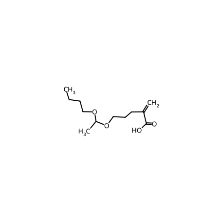 C=C(CCCOC(C)OCCCC)C(=O)O